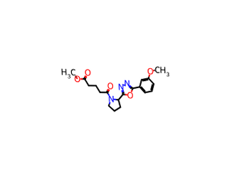 COC(=O)CCCC(=O)N1CCCC1c1nnc(-c2cccc(OC)c2)o1